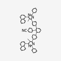 Cc1c(-c2ccc(-c3cccc(-c4ccc(-c5nc(-c6ccccc6)nc(-c6cccc7ccccc67)c5C)cc4)c3-c3ccc(C#N)cc3)cc2)nc(-c2ccccc2)nc1-c1cccc2ccccc12